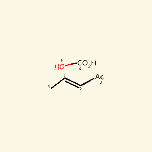 CC=CC(C)=O.O=C(O)O